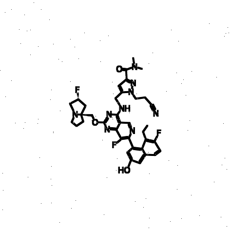 CCc1c(F)ccc2cc(O)cc(-c3ncc4c(NCc5cc(C(=O)N(C)C)nn5CCC#N)nc(OC[C@@]56CCCN5C[C@H](F)C6)nc4c3F)c12